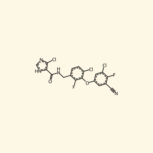 N#Cc1cc(Oc2c(Cl)ccc(CNC(=O)c3[nH]cnc3Cl)c2F)cc(Cl)c1F